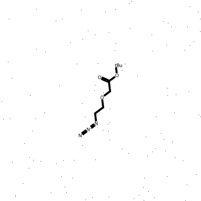 CC(C)(C)OC(=O)COCCN=[N+]=[N-]